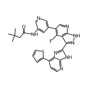 CC(C)(C)CC(=O)Nc1cncc(-c2cnc3[nH]nc(-c4nc5c(-c6cccs6)ccnc5[nH]4)c3c2F)c1